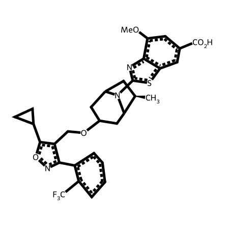 COc1cc(C(=O)O)cc2sc(N3C4CC(OCc5c(-c6ccccc6C(F)(F)F)noc5C5CC5)CC3[C@H](C)C4)nc12